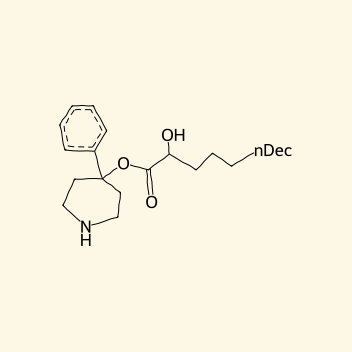 CCCCCCCCCCCCCC(O)C(=O)OC1(c2ccccc2)CCNCC1